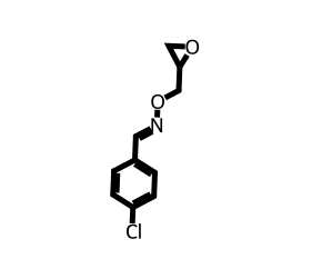 Clc1ccc(C=NOCC2CO2)cc1